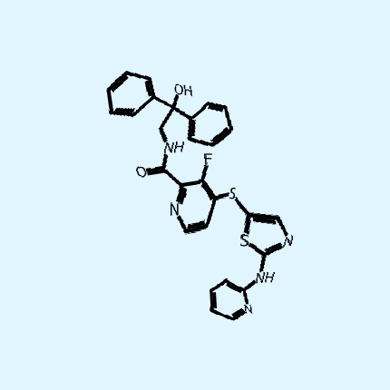 O=C(NCC(O)(c1ccccc1)c1ccccc1)c1nccc(Sc2cnc(Nc3ccccn3)s2)c1F